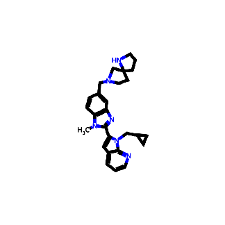 Cn1c(-c2cc3cccnc3n2CC2CC2)nc2cc(CN3CCC4(CCCN4)C3)ccc21